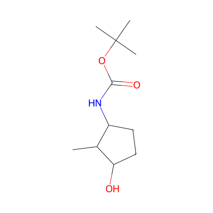 CC1C(O)CCC1NC(=O)OC(C)(C)C